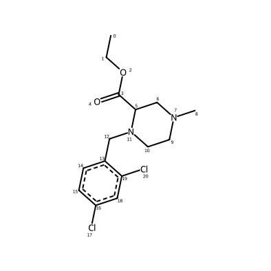 CCOC(=O)C1CN(C)CCN1Cc1ccc(Cl)cc1Cl